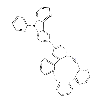 C1=C\c2ccc(-c3ccc4c(c3)c3ncccc3n4-c3ccccn3)cc2-c2ccccc2Sc2ccccc2-c2ccccc2/1